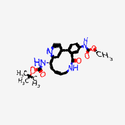 COC(=O)Nc1ccc2c(c1)C(=O)NCC=CC[C@H](NC(=O)OC(C)(C)C)c1cc-2ccn1